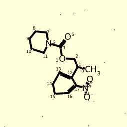 CC(COC(=O)N1CCCCC1)C1=CCCC=C1[N+](=O)[O-]